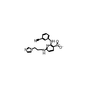 N#Cc1cccc(Nc2nc(NCCCn3ccnc3)ccc2[N+](=O)[O-])c1